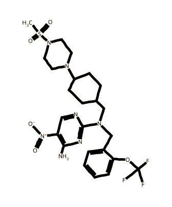 CS(=O)(=O)N1CCN(C2CCC(CN(Cc3ccccc3OC(F)(F)F)c3ncc([N+](=O)[O-])c(N)n3)CC2)CC1